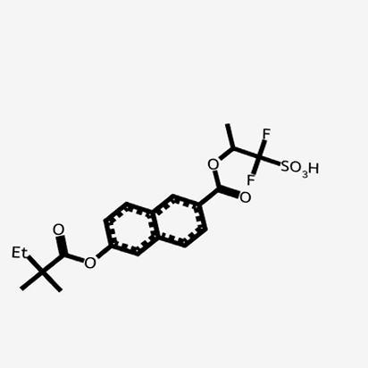 CCC(C)(C)C(=O)Oc1ccc2cc(C(=O)OC(C)C(F)(F)S(=O)(=O)O)ccc2c1